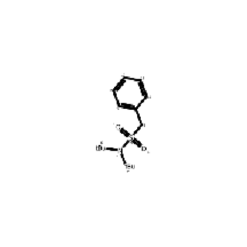 CC(C)(C)N(C(C)(C)C)S(=O)(=O)Cc1ccccc1